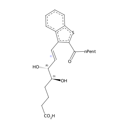 CCCCCC(=O)c1sc2ccccc2c1/C=C/[C@@H](O)[C@@H](O)CCCC(=O)O